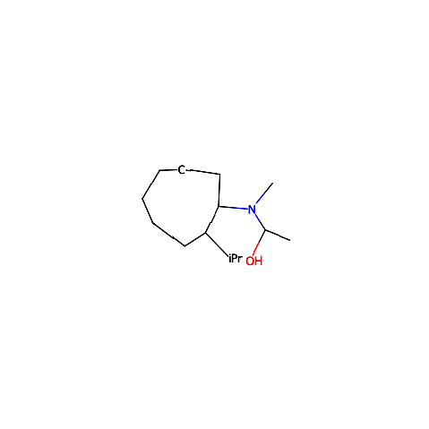 CC(C)C1CCCCCCC1N(C)C(C)O